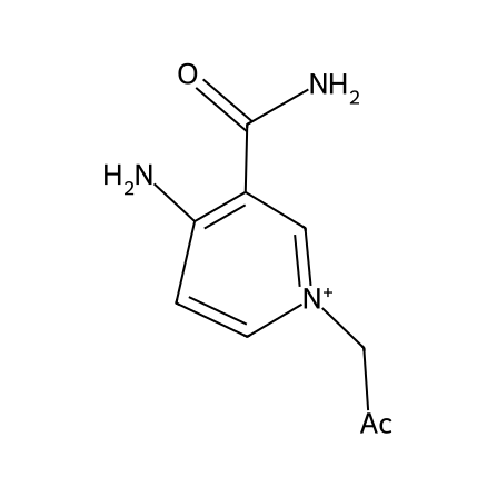 CC(=O)C[n+]1ccc(N)c(C(N)=O)c1